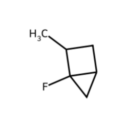 CC1CC2CC12F